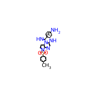 Cc1ccc(S(=O)(=O)n2ccc3c2ncc(=N)n3C(=N)C23CCC(N)(CC2)CC3)cc1